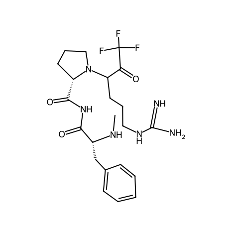 CN[C@H](Cc1ccccc1)C(=O)NC(=O)[C@@H]1CCCN1C(CCCNC(=N)N)C(=O)C(F)(F)F